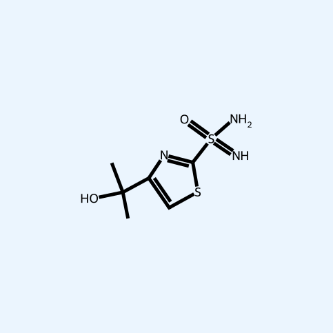 CC(C)(O)c1csc(S(=N)(N)=O)n1